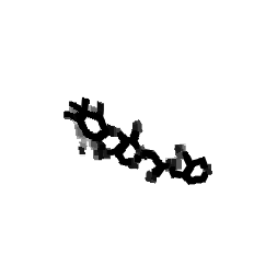 C[C@@H]1[C@@H](C)C(C)(C)[C@@H](C)C[C@H]1Nc1cnn(CC(=O)NCc2ccncc2Cl)c(=O)c1Br